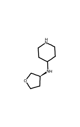 C1CC(N[C@H]2CCOC2)CCN1